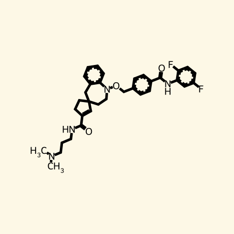 CN(C)CCCNC(=O)C1=CC2(CC1)CCN(OCc1ccc(C(=O)Nc3cc(F)ccc3F)cc1)c1ccccc1C2